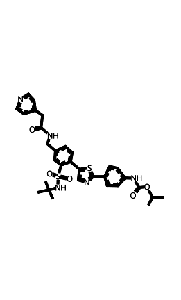 CC(C)OC(=O)Nc1ccc(-c2ncc(-c3ccc(CNC(=O)Cc4ccncc4)cc3S(=O)(=O)NC(C)(C)C)s2)cc1